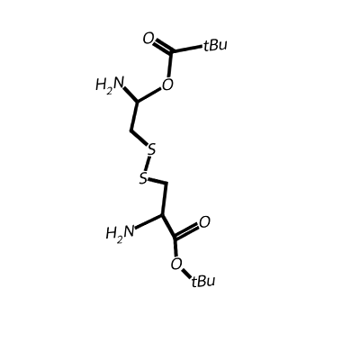 CC(C)(C)OC(=O)C(N)CSSCC(N)OC(=O)C(C)(C)C